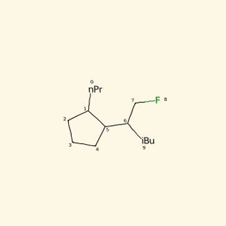 CCCC1CCCC1C(CF)C(C)CC